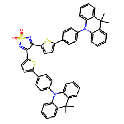 CC1(C)c2ccccc2N(c2ccc(-c3ccc(C4=NS(=O)(=O)N=C4c4ccc(-c5ccc(N6c7ccccc7C(C)(C)c7ccccc76)cc5)s4)s3)cc2)c2ccccc21